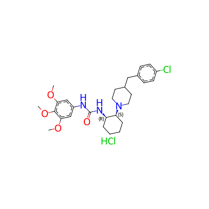 COc1cc(NC(=O)N[C@@H]2CCCC[C@@H]2N2CCC(Cc3ccc(Cl)cc3)CC2)cc(OC)c1OC.Cl